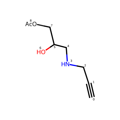 C#CCNCC(O)COC(C)=O